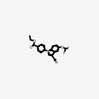 CCOC(=O)c1ccc(-n2cc(C#N)c3cc(OC(F)F)ccc32)cc1